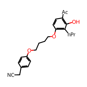 CCCc1c(OCCCCOc2ccc(CC#N)cc2)ccc(C(C)=O)c1O